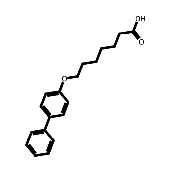 O=C(O)CCCCCCOc1ccc(-c2ccccc2)cc1